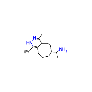 CC1=NNC(C(C)C)=C2CCCC(C(C)N)CCC12